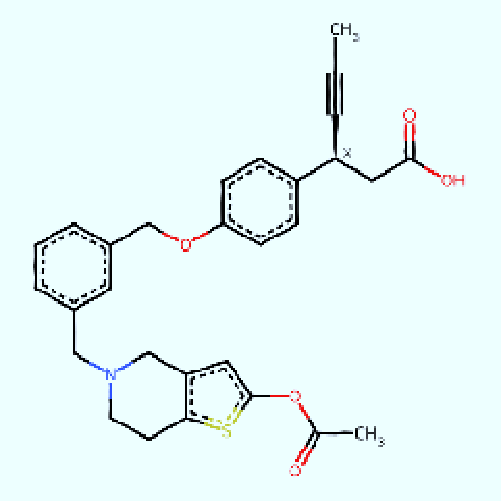 CC#C[C@@H](CC(=O)O)c1ccc(OCc2cccc(CN3CCc4sc(OC(C)=O)cc4C3)c2)cc1